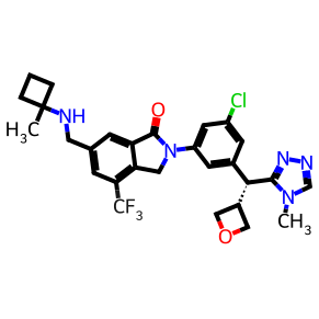 Cn1cnnc1[C@@H](c1cc(Cl)cc(N2Cc3c(cc(CNC4(C)CCC4)cc3C(F)(F)F)C2=O)c1)C1COC1